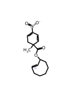 CC1(C(=O)OC2/C=C/CCCCC2)C=CC([N+](=O)[O-])=CC1